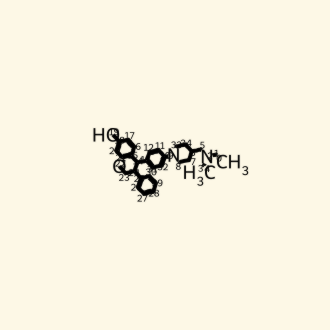 CCN(CC)CC1CCN(c2ccc(C3c4ccc(O)cc4OCC3c3ccccc3)cc2)CC1